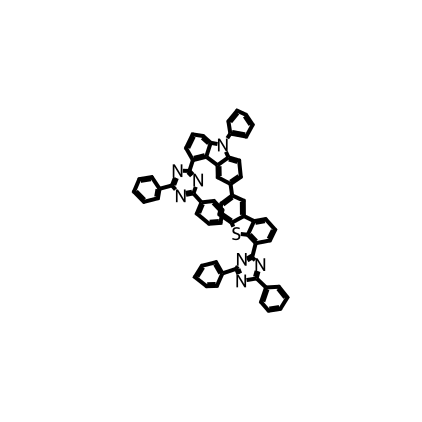 c1ccc(-c2nc(-c3ccccc3)nc(-c3cccc4c3sc3ccc(-c5ccc6c(c5)c5c(-c7nc(-c8ccccc8)nc(-c8ccccc8)n7)cccc5n6-c5ccccc5)cc34)n2)cc1